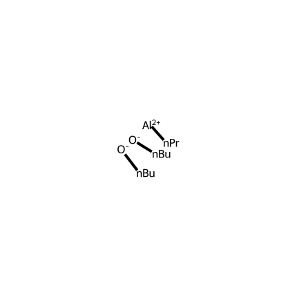 CCCC[O-].CCCC[O-].CC[CH2][Al+2]